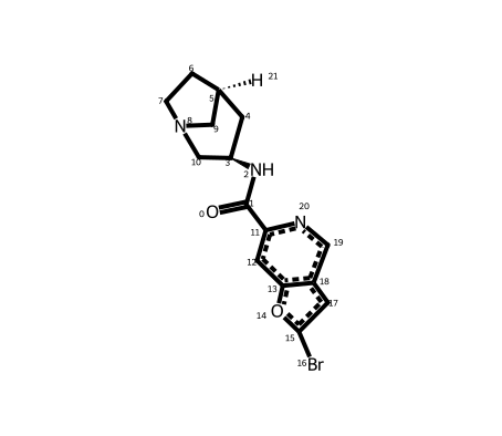 O=C(N[C@@H]1C[C@@H]2CCN(C2)C1)c1cc2oc(Br)cc2cn1